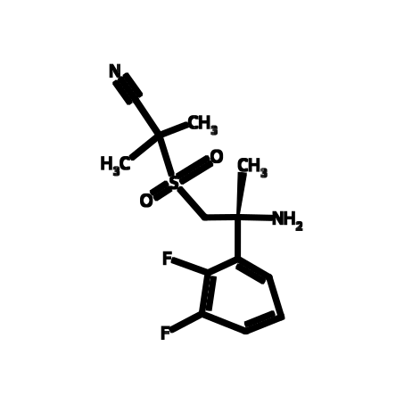 CC(C)(C#N)S(=O)(=O)C[C@](C)(N)c1cccc(F)c1F